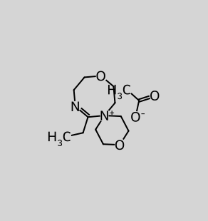 CC(=O)[O-].CC/C1=N/CCOCC[N+]12CCOCC2